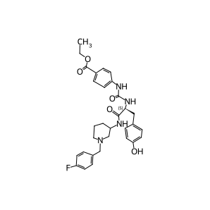 CCOC(=O)c1ccc(NC(=O)N[C@@H](Cc2ccc(O)cc2)C(=O)NC2CCCN(Cc3ccc(F)cc3)C2)cc1